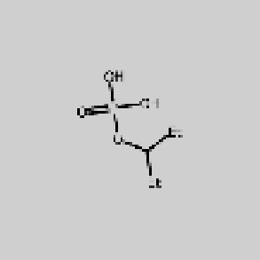 CCC(CC)OP(=O)(O)O